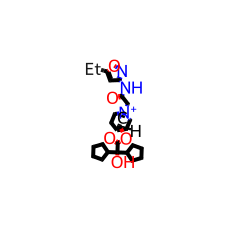 CCc1cc(NC(=O)C[N+]23CCC(CC2)[C@@H](OC(=O)C(O)(C2CCCC2)C2CCCC2)C3)no1